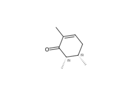 CC1=CC[C@H](C)[C@H](C)C1=O